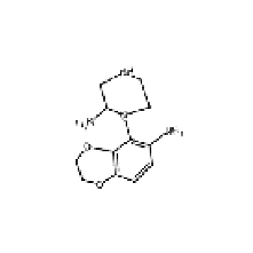 Nc1ccc2c(c1N1CCNCC1N)OCCO2